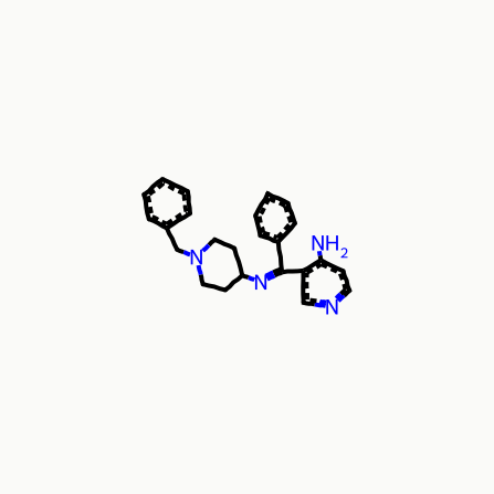 Nc1ccncc1C(=NC1CCN(Cc2ccccc2)CC1)c1ccccc1